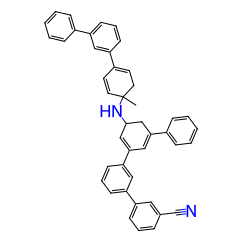 CC1(NC2C=C(c3cccc(-c4cccc(C#N)c4)c3)C=C(c3ccccc3)C2)C=CC(c2cccc(-c3ccccc3)c2)=CC1